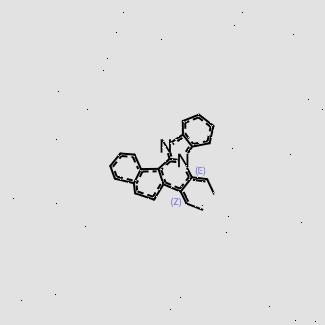 C/C=c1\c(=C/C)n2c3ccccc3nc2c2c1ccc1ccccc12